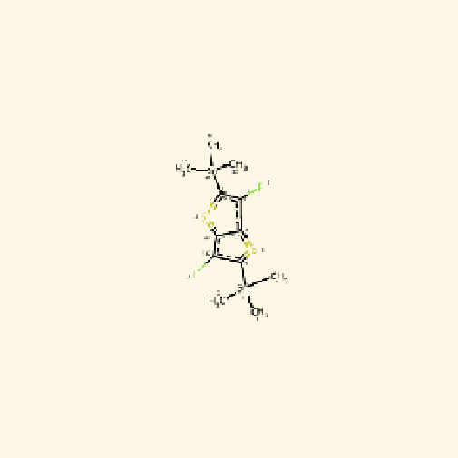 [CH3][Sn]([CH3])([CH3])[c]1sc2c(F)[c]([Sn]([CH3])([CH3])[CH3])sc2c1F